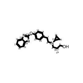 C[C@@H](CO)CN(CCc1ccc(Oc2nc3ccccc3s2)cc1)C1CC1